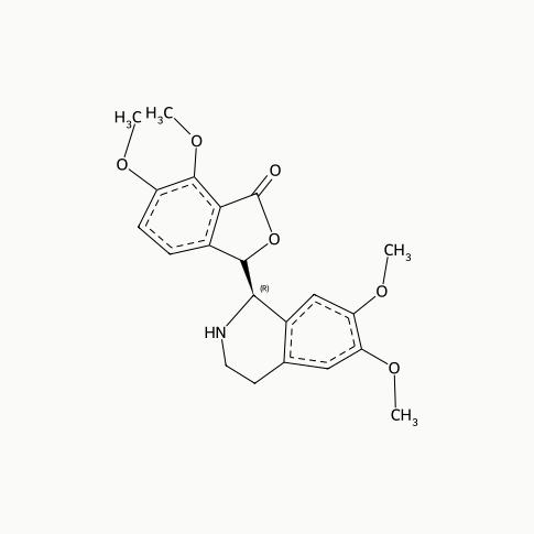 COc1cc2c(cc1OC)[C@H](C1OC(=O)c3c1ccc(OC)c3OC)NCC2